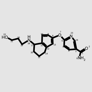 NC(=O)c1ccc(Oc2ccc3c(c2)CCCC3NCCCO)nc1